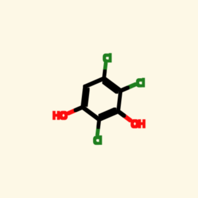 Oc1cc(Cl)c(Cl)c(O)c1Cl